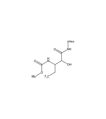 CCCCCCNC(=O)C(O)C(CC(F)(F)F)NC(=O)OC(C)(C)C